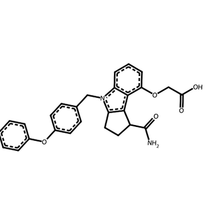 NC(=O)C1CCc2c1c1c(OCC(=O)O)cccc1n2Cc1ccc(Oc2ccccc2)cc1